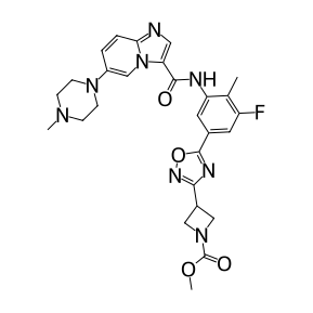 COC(=O)N1CC(c2noc(-c3cc(F)c(C)c(NC(=O)c4cnc5ccc(N6CCN(C)CC6)cn45)c3)n2)C1